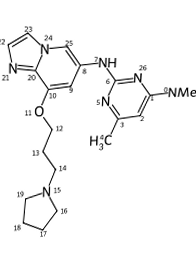 CNc1cc(C)nc(Nc2cc(OCCCN3CCCC3)c3nccn3c2)n1